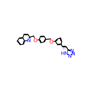 C(=C\c1nnn[nH]1)/c1cccc(OCc2ccc(OCc3ccc4ccccc4n3)cc2)c1